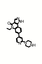 CCn1c(=O)c2cn[nH]c2c2ccc(-c3ccnc(N4CCNCC4)c3)cc21